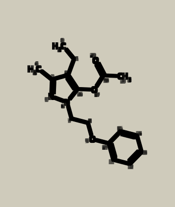 CCc1c(C)nn(CCOc2ccccc2)c1OC(C)=O